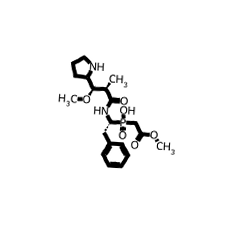 COC(=O)CP(=O)(O)[C@H](Cc1ccccc1)NC(=O)[C@H](C)[C@@H](OC)C1CCCN1